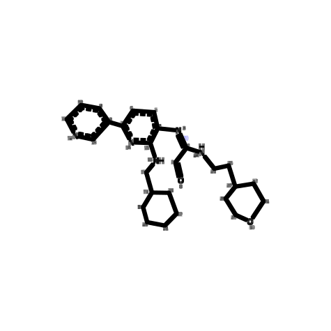 O=C/C(=N\c1ccc(-c2cccnc2)nc1NCC1CCCCC1)NCCC1CCOCC1